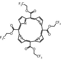 O=C(OCC(F)(F)F)C1=C2C=CC(=N2)C(C(=O)OCC(F)(F)F)=C2C=CC(=N2)C(C(=O)OCC(F)(F)F)=C2C=CC(=N2)C(C(=O)OCC(F)(F)F)=C2C=CC1=N2